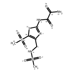 CS(=O)(=O)NCc1nc(NC(=O)C(N)=O)sc1S(C)(=O)=O